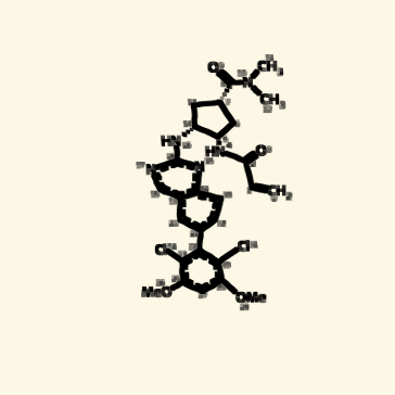 C=CC(=O)N[C@H]1C[C@@H](C(=O)N(C)C)C[C@H]1Nc1ncc2cc(-c3c(Cl)c(OC)cc(OC)c3Cl)ccc2n1